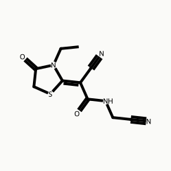 CCN1C(=O)CS/C1=C(/C#N)C(=O)NCC#N